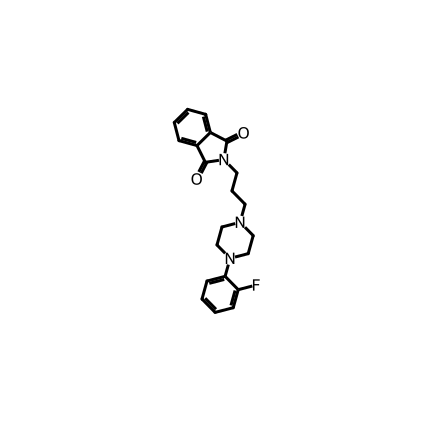 O=C1c2ccccc2C(=O)N1CCCN1CCN(c2ccccc2F)CC1